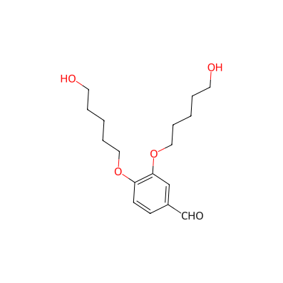 O=Cc1ccc(OCCCCCO)c(OCCCCCO)c1